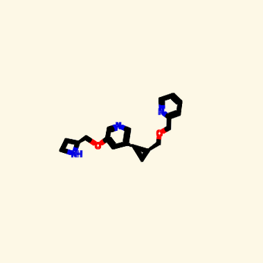 c1ccc(COC[C@H]2C[C@@H]2c2cncc(OC[C@@H]3CCN3)c2)nc1